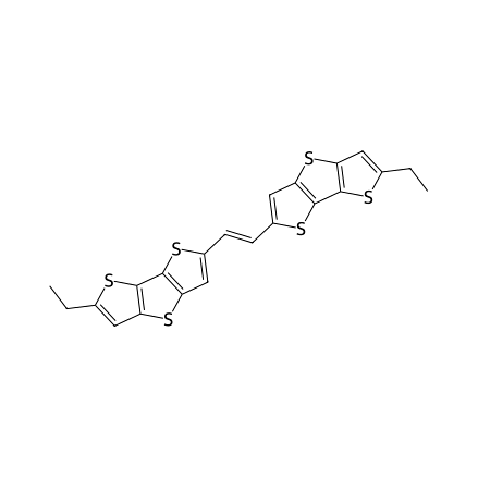 CCc1cc2sc3cc(/C=C/c4cc5sc6cc(CC)sc6c5s4)sc3c2s1